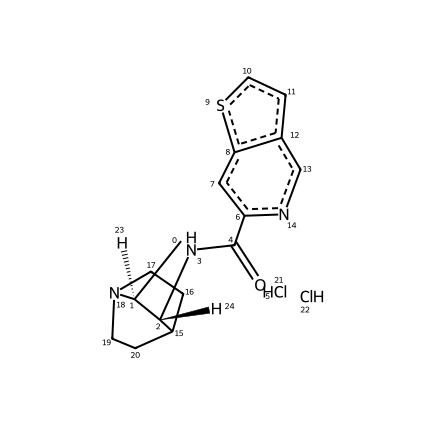 C[C@H]1[C@H](NC(=O)c2cc3sccc3cn2)C2CCN1CC2.Cl.Cl